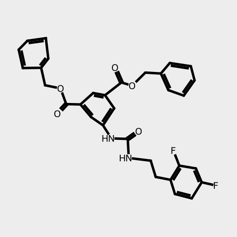 O=C(NCCc1ccc(F)cc1F)Nc1cc(C(=O)OCc2ccccc2)cc(C(=O)OCc2ccccc2)c1